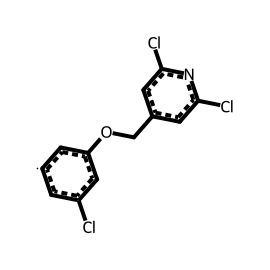 Clc1c[c]cc(OCc2cc(Cl)nc(Cl)c2)c1